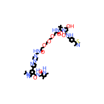 Cc1cc(C)c(CNC(=O)c2cc(-c3ccc(N4CCN(CCNC(=O)CCOCCOCCOCCC(=O)N[C@H](C(=O)N5C[C@H](O)C[C@H]5C(=O)NCc5ccc(-c6scnc6C)cc5)C(C)(C)C)CC4)nc3)cc3c2cnn3C(C)C)c(=O)[nH]1